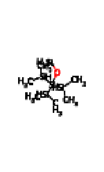 C[SiH](C)[Si](O[SiH3])([SiH](C)C)[SiH](C)C